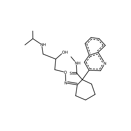 CNC(=S)C1(c2cnc3ccccc3c2)CCCC/C1=N/OCC(O)CNC(C)C